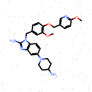 COc1ccc(COc2ccc(Cn3c(N)nc4cc(N5CCC(N)CC5)ccc43)cc2OC)cn1